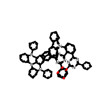 c1ccc(-c2nc(-c3ccccc3)nc(-c3cccc(-n4c5ccccc5c5cc(-c6cc7c8c(c6)N(c6ccccc6)c6ccccc6B8c6ccccc6N7c6ccccc6)ccc54)c3-c3nc(-c4ccccc4)nc(-c4ccccc4)n3)n2)cc1